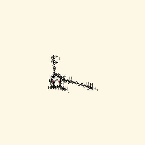 CNOCC(=O)NCCOCCOCCOCCOCCOCCNC(=O)COCC(=O)NCCCC[C@@H]1NC(=O)CSC[C@@H](C(=O)NCCOCCOCCOCCNC(=O)COCC(N)=O)NC(=O)[C@H](Cc2ccccc2)NC(=O)[C@@H]2CSSC[C@H](NC1=O)C(=O)N[C@@H](CCCNC(=N)N)C(=O)NCC(=O)N[C@@H](CC(=O)O)C(=O)N2